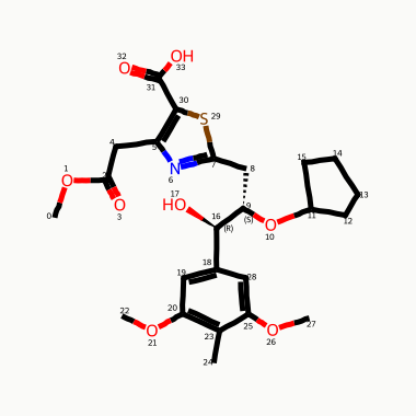 COC(=O)Cc1nc(C[C@H](OC2CCCC2)[C@H](O)c2cc(OC)c(C)c(OC)c2)sc1C(=O)O